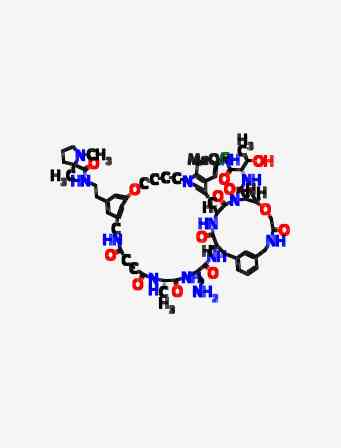 CONC(=O)[C@@H](NC(=O)[C@@H]1[C@@H]2CCN1C(=O)[C@@H]1Cc3cn(c4ccc(F)cc34)CCCCOc3cc(CCNC(=O)[C@]4(C)CCCN4C)cc(c3)CNC(=O)CCC(=O)N[C@@H](C)C(=O)N[C@H](CN)C(=O)N[C@@H](Cc3cccc(c3)CNC(=O)CO2)C(=O)N1)[C@@H](C)O